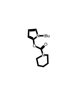 CC(C)(C)n1cccc1OC(=O)N1CCCCC1